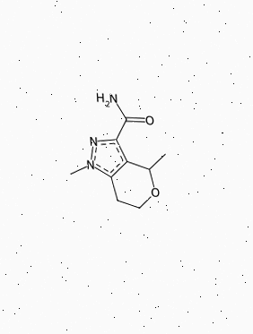 CC1OCCc2c1c(C(N)=O)nn2C